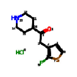 Cl.O=C(Cc1ccsc1F)C1CCNCC1